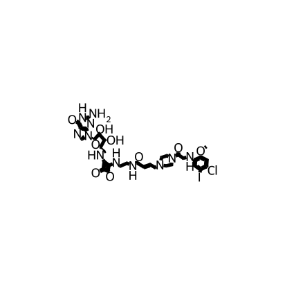 COc1cc(Cl)c(I)cc1NCC(=O)N1CCN(C/C=C/C(=O)NCCNc2c(NC[C@H]3O[C@@H](n4cnc5c(=O)[nH]c(N)nc54)[C@H](O)[C@@H]3O)c(=O)c2=O)CC1